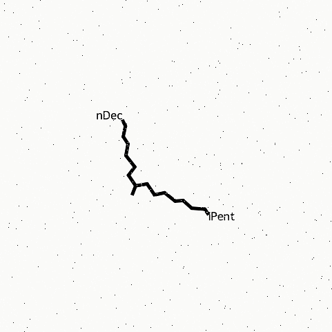 CCCCCCCCCCCCCCCCC(C)CCCCCCCC(C)CCC